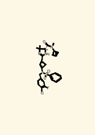 CN(C(=O)[C@@H]1NC(C23CC(N(Cc4ccc(Cl)c(F)c4)S(=O)(=O)c4ccccc4)(C2)C3)=NC1(C)C)C12CC(C1)C2